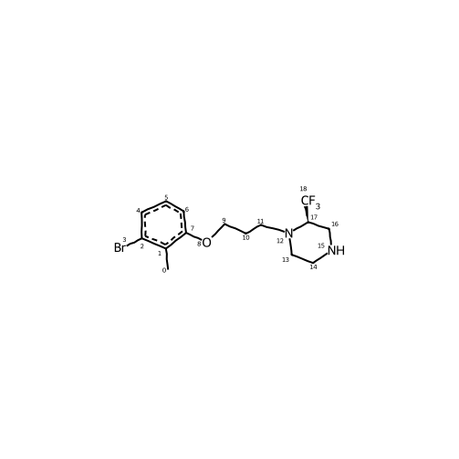 Cc1c(Br)cccc1OCCCN1CCNC[C@@H]1C(F)(F)F